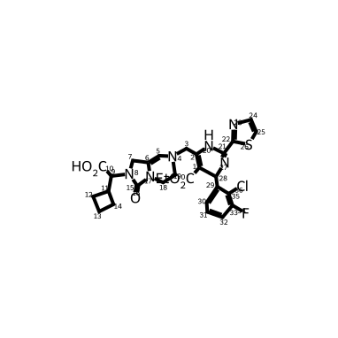 CCOC(=O)C1=C(CN2C=C3CN(C(C(=O)O)C4CCC4)C(=O)N3CC2)NC(c2nccs2)=NC1c1cccc(F)c1Cl